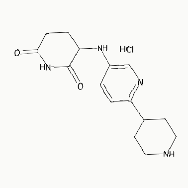 Cl.O=C1CCC(Nc2ccc(C3CCNCC3)nc2)C(=O)N1